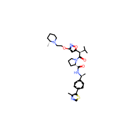 Cc1ncsc1-c1ccc([C@H](C)NC(=O)[C@@H]2CCCN2C(=O)[C@@H](c2cc(OCCN3CCCC[C@H]3C)no2)C(C)C)cc1